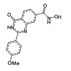 COc1ccc(-c2nc3cc(C(=O)NO)ccc3c(=O)[nH]2)cc1